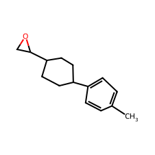 Cc1ccc(C2CCC(C3CO3)CC2)cc1